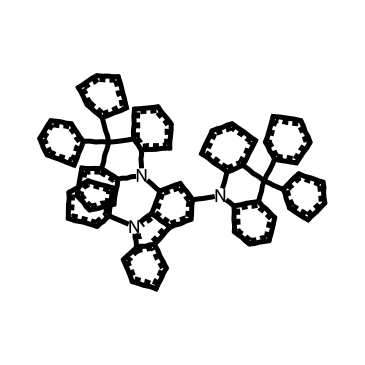 c1ccc(-n2c3ccccc3c3cc(N4c5ccccc5C(c5ccccc5)(c5ccccc5)c5ccccc54)cc(N4c5ccccc5C(c5ccccc5)(c5ccccc5)c5ccccc54)c32)cc1